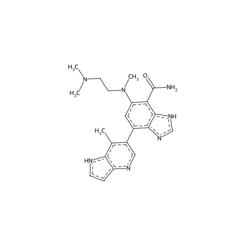 Cc1c(-c2cc(N(C)CCN(C)C)c(C(N)=O)c3[nH]cnc23)cnc2cc[nH]c12